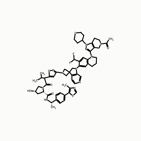 CC(=O)N1CCc2c(c(N3CCCc4cc(N5CC6(CN(c7cc(C(C(=O)N8C[C@H](O)C[C@H]8C(=O)N[C@@H](C)c8ccc(-c9scnc9C)cc8)C(C)C)on7)C6)c6ccncc65)c(C(F)F)cc43)nn2C2CCOCC2)C1